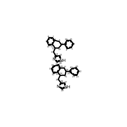 c1ccc(C2Cc3ccccc3C(Cc3c[nH]cn3)C2)cc1.c1ccc(C2Cc3ccccc3C(Cc3c[nH]cn3)C2)cc1